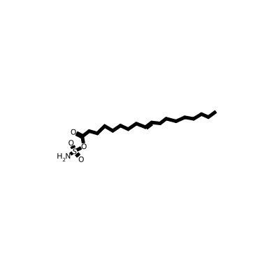 CCCCCCCCC=CCCCCCCCC(=O)OS(N)(=O)=O